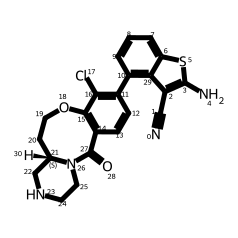 N#Cc1c(N)sc2cccc(-c3ccc4c(c3Cl)OCC[C@H]3CNCCN3C4=O)c12